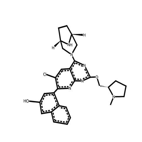 CN1CCC[C@H]1COc1nc(N2C[C@H]3CC[C@@H](C2)N3)c2cc(Cl)c(-c3cc(O)cc4ccccc34)nc2n1